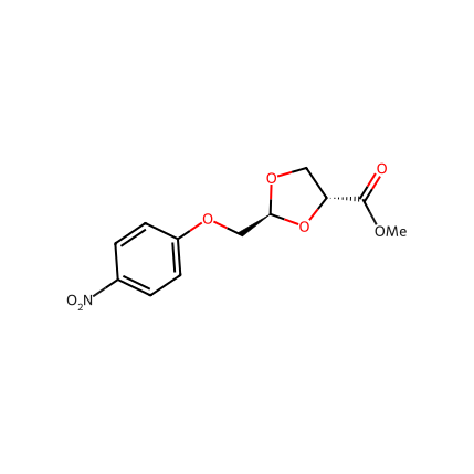 COC(=O)[C@H]1CO[C@H](COc2ccc([N+](=O)[O-])cc2)O1